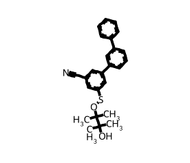 CC(C)(O)C(C)(C)OSc1cc(C#N)cc(-c2cccc(-c3ccccc3)c2)c1